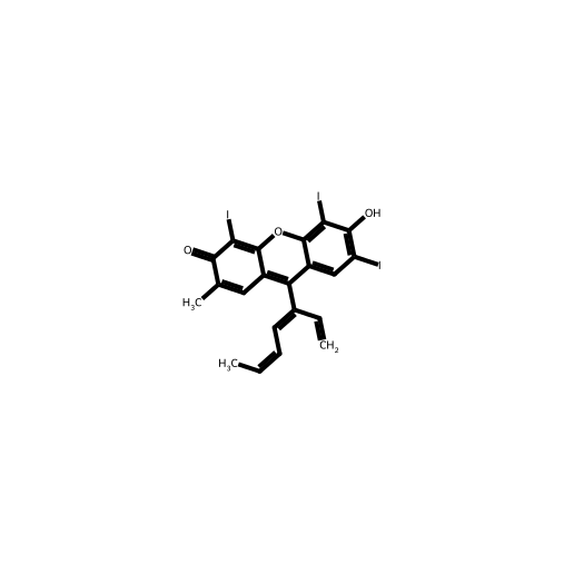 C=C/C(=C\C=C/C)c1c2cc(C)c(=O)c(I)c-2oc2c(I)c(O)c(I)cc12